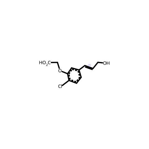 O=C(O)COc1cc(/C=C/CO)ccc1Cl